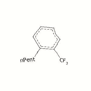 CCCCCc1ccccc1C(F)(F)F